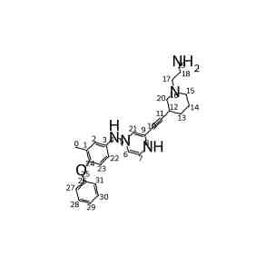 Cc1cc(NN2C=CNC(C#CC3CCCN(CCN)C3)=C2)ccc1Oc1ccccc1